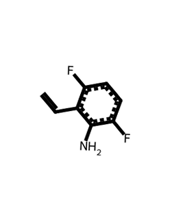 C=Cc1c(F)ccc(F)c1N